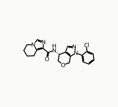 O=C(N[C@H]1COCc2c1cnn2-c1ccccc1Cl)c1ncn2c1CCCC2